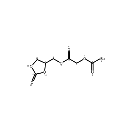 CCC(C)C(=O)OCC(=O)OCC1COC(=O)O1